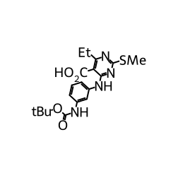 CCc1nc(SC)nc(Nc2cccc(NC(=O)OC(C)(C)C)c2)c1C(=O)O